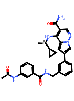 CC(=O)Nc1cccc(C(=O)NCc2cccc(-c3cc4c(N[C@H](C)C5CC5)c(C(N)=O)cnn4c3)c2)c1